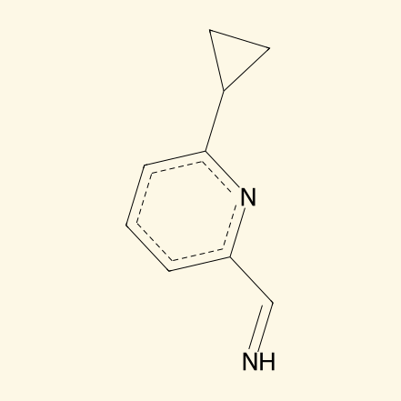 N=Cc1cccc(C2CC2)n1